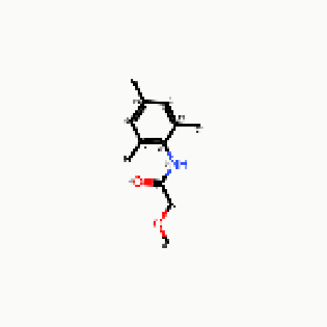 COCC(=O)Nc1c(C)cc(C)cc1C